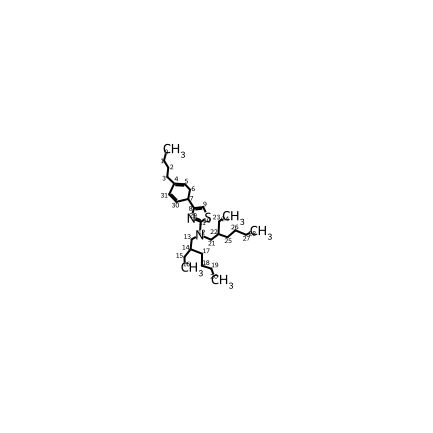 CCCCC1=CCC(c2csc(N(CC(CC)CCCC)CC(CC)CCCC)n2)C=C1